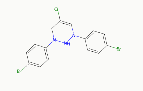 ClC1=CN(c2ccc(Br)cc2)NN(c2ccc(Br)cc2)C1